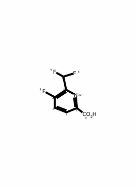 O=C(O)c1ccc(F)c(C(F)F)n1